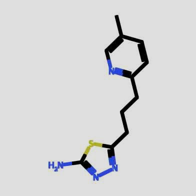 Cc1ccc(CCCc2nnc(N)s2)nc1